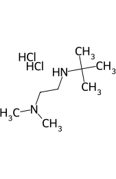 CN(C)CCNC(C)(C)C.Cl.Cl